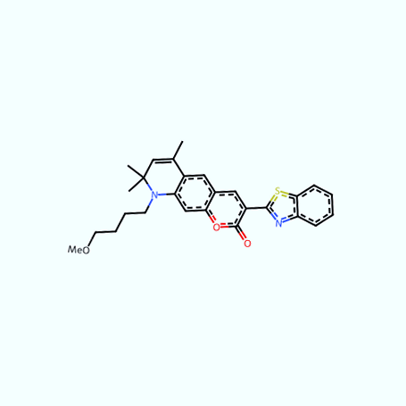 COCCCCN1c2cc3oc(=O)c(-c4nc5ccccc5s4)cc3cc2C(C)=CC1(C)C